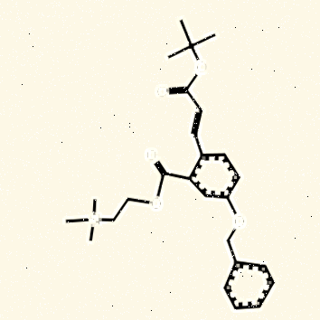 CC(C)(C)OC(=O)C=Cc1ccc(OCc2ccccc2)cc1C(=O)OCC[Si](C)(C)C